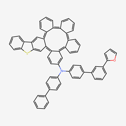 c1ccc(-c2ccc(N(c3ccc(-c4cccc(-c5ccco5)c4)cc3)c3ccc4c(c3)c3ccccc3c3ccccc3c3ccccc3c3cc5c(cc43)sc3ccccc35)cc2)cc1